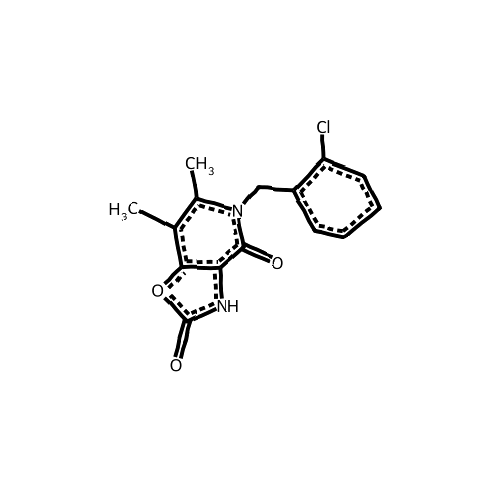 Cc1c(C)n(Cc2ccccc2Cl)c(=O)c2[nH]c(=O)oc12